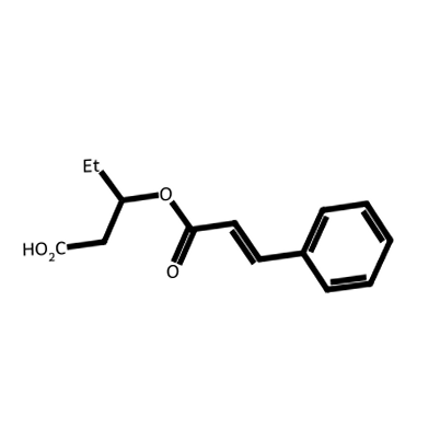 CCC(CC(=O)O)OC(=O)/C=C/c1ccccc1